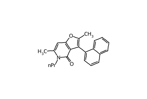 CCCn1c(C)cc2oc(C)c(-c3cccc4ccccc34)c2c1=O